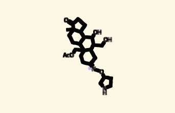 CC(=O)OCC12CC/C(=N/OC3CCNC3)CC1C(CO)C(O)C1C3CCC(=O)C3(C)CCC12